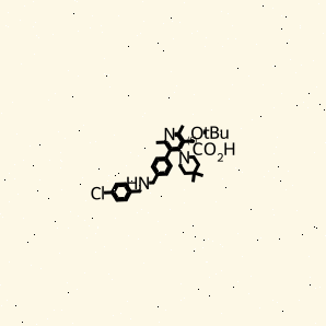 Cc1nc(C)c([C@H](OC(C)(C)C)C(=O)O)c(N2CCC(C)(C)CC2)c1-c1ccc(CNCc2ccc(Cl)cc2)cc1